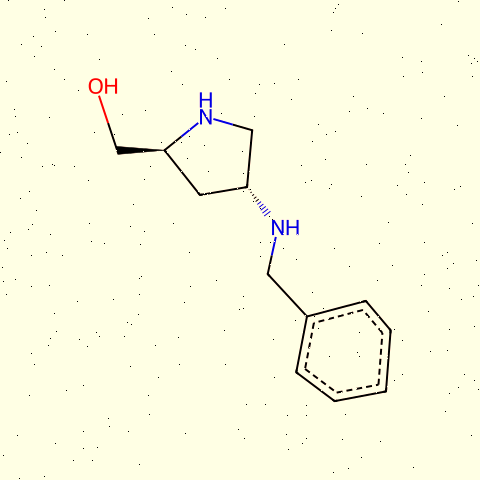 OC[C@@H]1C[C@@H](NCc2ccccc2)CN1